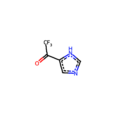 O=C(c1cnc[nH]1)C(F)(F)F